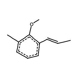 CC=Cc1cccc(C)c1OC